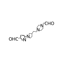 O=CCN1CCN(CCC2CCN(c3ccc(C=O)cn3)C2)CC1